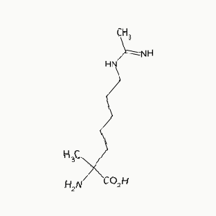 CC(=N)NCCCCCC(C)(N)C(=O)O